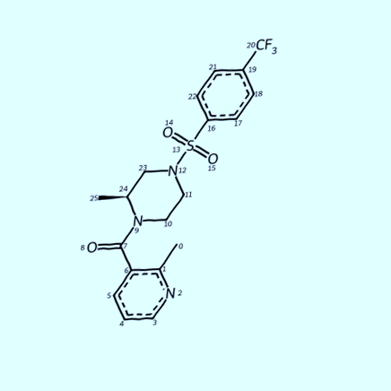 Cc1ncccc1C(=O)N1CCN(S(=O)(=O)c2ccc(C(F)(F)F)cc2)C[C@@H]1C